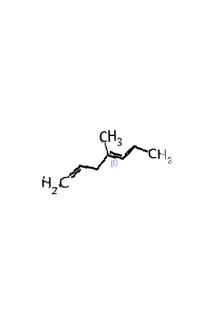 C=CC/C(C)=C/CC